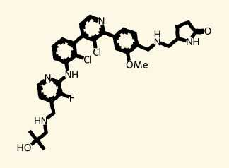 COc1cc(-c2nccc(-c3cccc(Nc4nccc(CNCC(C)(C)O)c4F)c3Cl)c2Cl)ccc1CNCC1CCC(=O)N1